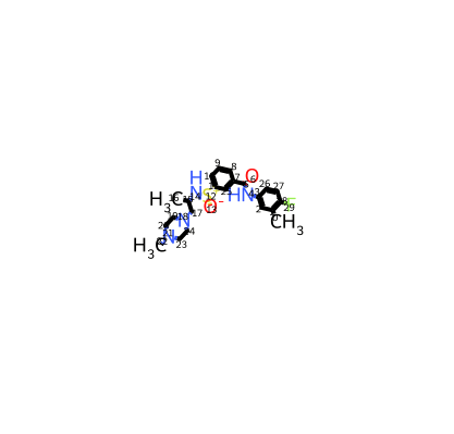 Cc1cc(NC(=O)c2cccc([S+]([O-])NC(C)CN3CCN(C)CC3)c2)ccc1F